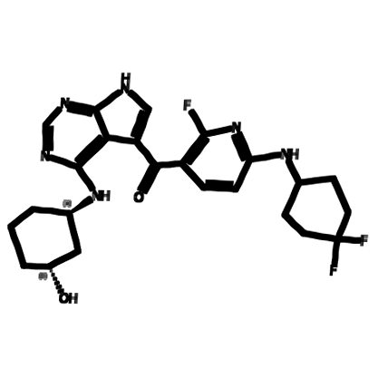 O=C(c1ccc(NC2CCC(F)(F)CC2)nc1F)c1c[nH]c2ncnc(N[C@@H]3CCC[C@@H](O)C3)c12